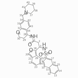 O=C(CC(NS(=O)(=O)c1ccc2ccccc2c1)c1occ2ccccc12)NC1CCOc2cc(CN3CCCCC3)ccc21